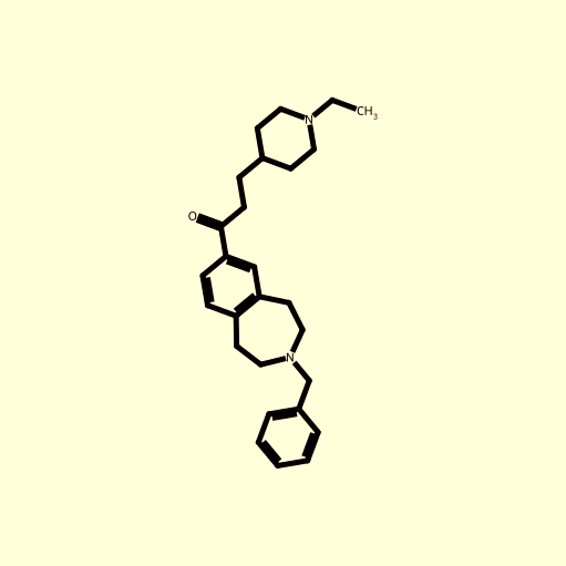 CCN1CCC(CCC(=O)c2ccc3c(c2)CCN(Cc2ccccc2)CC3)CC1